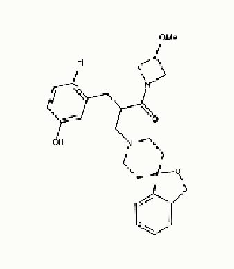 COC1CN(C(=O)C(Cc2cc(O)ccc2Cl)CN2CCC3(CC2)OCc2ccccc23)C1